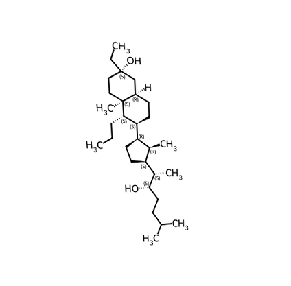 CCC[C@H]1[C@H]([C@@H]2CC[C@H]([C@H](C)[C@@H](O)CCC(C)C)[C@@H]2C)CC[C@@H]2C[C@](O)(CC)CC[C@@]21C